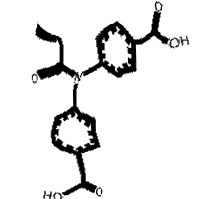 C=CC(=O)N(c1ccc(C(=O)O)cc1)c1ccc(C(=O)O)cc1